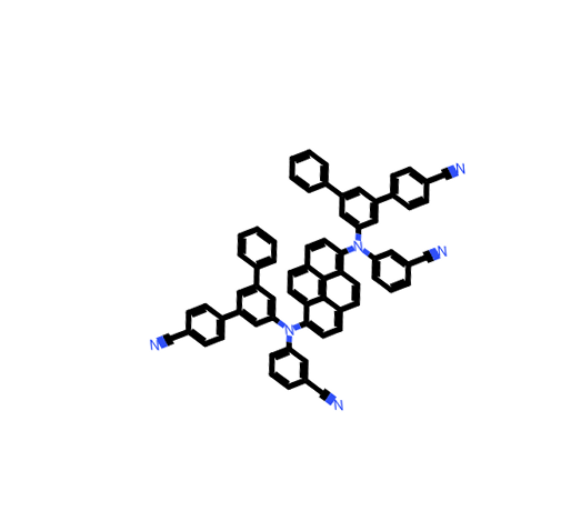 N#Cc1ccc(-c2cc(-c3ccccc3)cc(N(c3cccc(C#N)c3)c3ccc4ccc5c(N(c6cccc(C#N)c6)c6cc(-c7ccccc7)cc(-c7ccc(C#N)cc7)c6)ccc6ccc3c4c65)c2)cc1